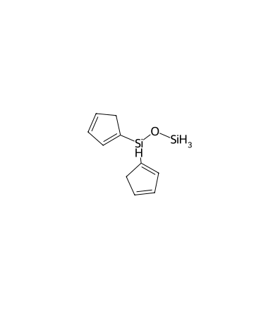 [SiH3]O[SiH](C1=CC=CC1)C1=CC=CC1